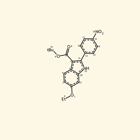 CCOc1ccc2c(C(=O)OC(C)(C)C)c(-c3ccc([N+](=O)[O-])cc3)[nH]c2c1